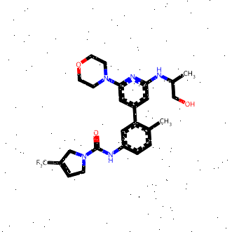 Cc1ccc(NC(=O)N2CC=C(C(F)(F)F)C2)cc1-c1cc(NC(C)CO)nc(N2CCOCC2)c1